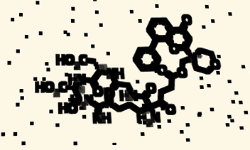 N=C(N)NCCC[C@@](N)(C(=O)CCC(=O)OC[N+]1(c2cc(=O)c3cccc(-c4ccccc4)c3o2)CCOCC1)C(=O)NCC(=O)N[C@@H](CC(=O)O)C(=O)N[C@@H](CO)C(=O)O